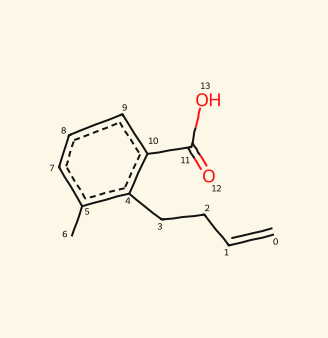 C=CCCc1c(C)cccc1C(=O)O